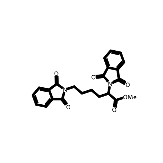 COC(=O)C(CCCCN1C(=O)c2ccccc2C1=O)N1C(=O)c2ccccc2C1=O